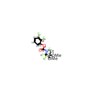 CC[Si](OC)(OC)C(F)(F)N(F)C(=O)Oc1cccc(F)c1F